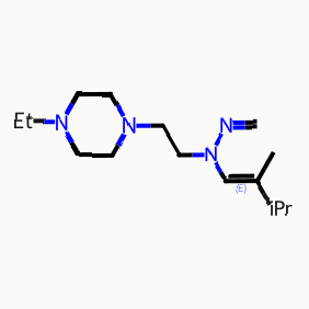 C=NN(/C=C(\C)C(C)C)CCN1CCN(CC)CC1